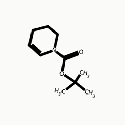 CC(C)(C)OC(=O)N1C=[C]CCC1